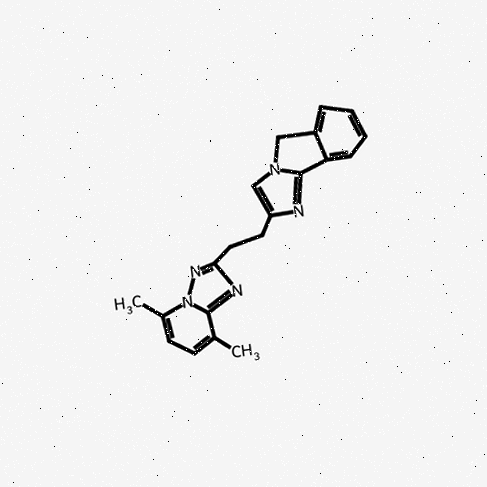 Cc1ccc(C)n2nc(CCc3cn4c(n3)-c3ccccc3C4)nc12